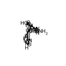 Nc1ncnc2c1ncn2C1C(F)C(OP(=O)(O)OCC2CC(F)C(n3cnc4c(=O)[nH]cnc43)O2)C2(COP(=O)(O)O)CC12